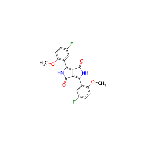 COc1ccc(F)cc1C1=C2C(=O)NC(c3cc(F)ccc3OC)=C2C(=O)N1